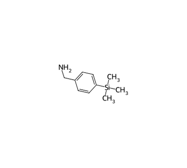 C[Si](C)(C)c1ccc(CN)cc1